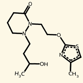 Cc1csc(OCCN2C(=O)CCCN2CCC(C)O)n1